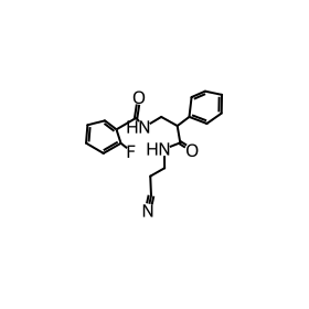 N#CCCNC(=O)C(CNC(=O)c1ccccc1F)c1ccccc1